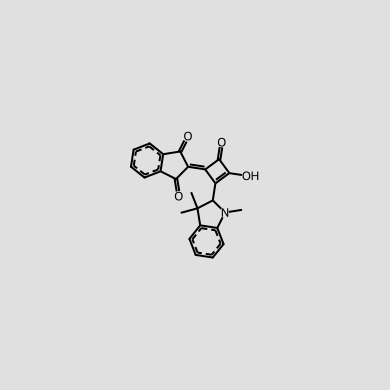 CN1c2ccccc2C(C)(C)C1C1=C(O)C(=O)C1=C1C(=O)c2ccccc2C1=O